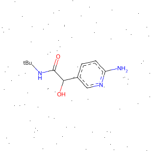 CC(C)(C)NC(=O)C(O)c1ccc(N)nc1